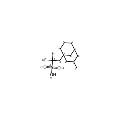 CC1CC2CCCC(CC(F)(F)S(=O)(=O)O)(C1)C2